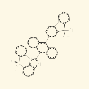 CC1(C)c2ccccc2-c2ccc(-c3c4ccccc4c(-c4nc5cccc6c5n4-c4ccccc4S6(=O)=O)c4ccccc34)cc21